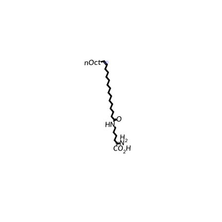 CCCCCCCC/C=C\CCCCCCCCCCCCCC(=O)NCCCC[C@H](N)C(=O)O